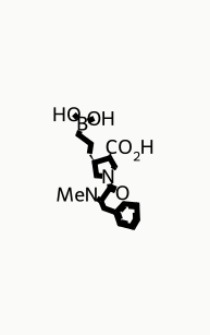 CNC(Cc1ccccc1)C(=O)N1C[C@H](CCCB(O)O)[C@H](C(=O)O)C1